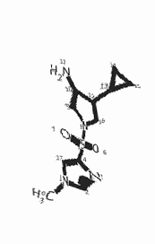 Cn1cnc(S(=O)(=O)N2CC(N)C(C3CC3)C2)c1